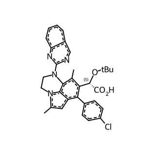 Cc1c([C@H](OC(C)(C)C)C(=O)O)c(-c2ccc(Cl)cc2)c2cc(C)n3c2c1N(c1ncc2ccccc2n1)CC3